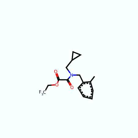 Cc1ccccc1CN(CC1CC1)C(=O)C(=O)OCC(F)(F)F